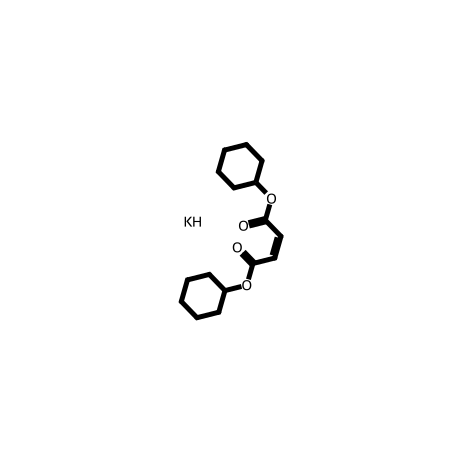 O=C(/C=C\C(=O)OC1CCCCC1)OC1CCCCC1.[KH]